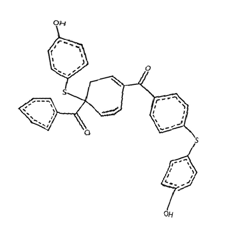 O=C(C1=CCC(Sc2ccc(O)cc2)(C(=O)c2ccccc2)C=C1)c1ccc(Sc2ccc(O)cc2)cc1